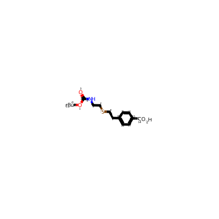 CC(C)(C)OC(=O)NCCSCCc1ccc(C(=O)O)cc1